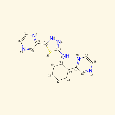 c1cnc(-c2nnc(NC3CCCCC3c3cnccn3)s2)cn1